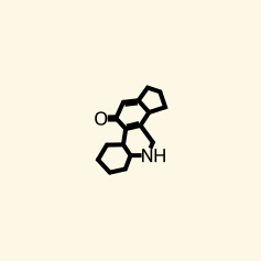 O=C1C=C2CCCC2C2=C1C1CCCCC1NC2